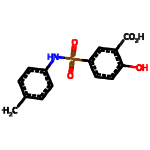 [CH2]c1ccc(NS(=O)(=O)c2ccc(O)c(C(=O)O)c2)cc1